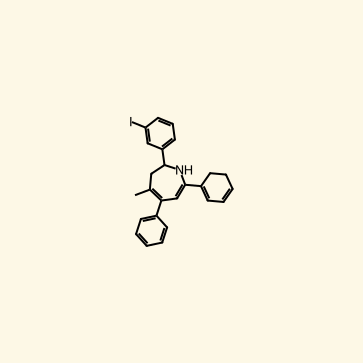 CC1=C(c2ccccc2)C=C(C2=CC=CCC2)NC(c2cccc(I)c2)C1